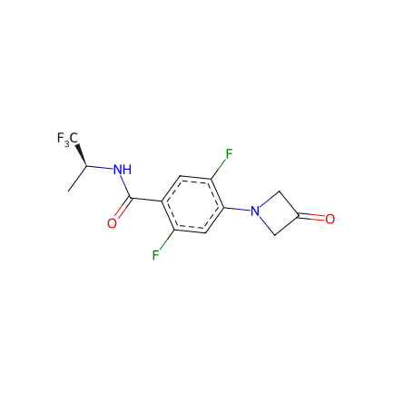 C[C@H](NC(=O)c1cc(F)c(N2CC(=O)C2)cc1F)C(F)(F)F